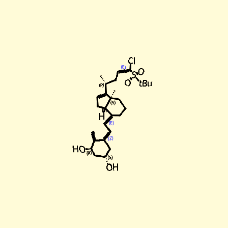 C=C1/C(=C\C=C2/CCC[C@]3(C)C([C@H](C)C/C=C(/Cl)S(=O)(=O)C(C)(C)C)=CC[C@@H]23)C[C@H](O)C[C@H]1O